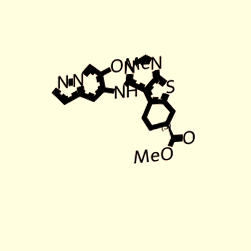 COC(=O)[C@H]1CCc2c(sc3ncnc(Nc4cc5ccnn5cc4OC)c23)C1